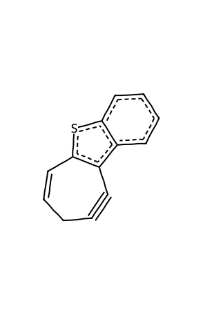 C1#Cc2c(sc3ccccc23)C=CC1